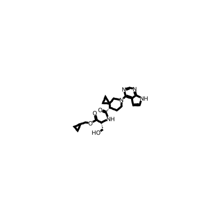 O=C(N[C@H](CO)C(=O)OCC1CC1)[C@H]1CCN(c2ncnc3[nH]ccc23)CC12CC2